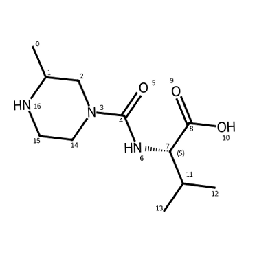 CC1CN(C(=O)N[C@H](C(=O)O)C(C)C)CCN1